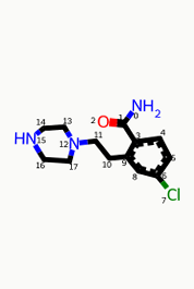 NC(=O)c1ccc(Cl)cc1CCN1CCNCC1